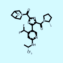 C[C@H](Nc1cc(C(F)F)c(-c2sc(C(=O)N3CC4CC(C3)O4)nc2C(=O)N2CCC[C@@H]2C)cn1)C(F)(F)F